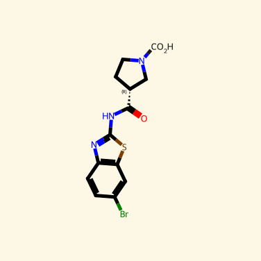 O=C(Nc1nc2ccc(Br)cc2s1)[C@@H]1CCN(C(=O)O)C1